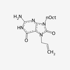 C=CCn1c(=O)n(CCCCCCCC)c2nc(N)[nH]c(=O)c21